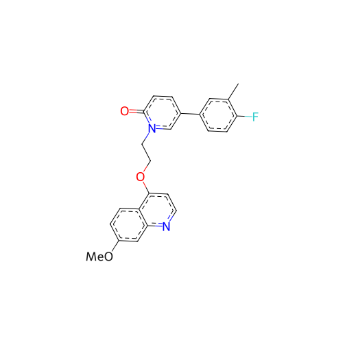 COc1ccc2c(OCCn3cc(-c4ccc(F)c(C)c4)ccc3=O)ccnc2c1